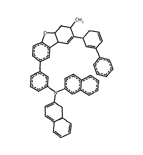 CC1CC2Oc3ccc(-c4cccc(N(C5=CC=C6C=CC=CC6C5)c5ccc6ccccc6c5)c4)cc3C2C=C1C1C=C(c2ccccc2)C=CC1